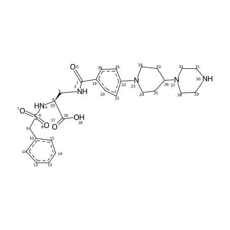 O=C(NC[C@H](NS(=O)(=O)Cc1ccccc1)C(=O)O)c1ccc(N2CCC(N3CCNCC3)CC2)cc1